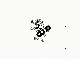 Cc1c(O)cccc1C(=O)[C@@H](Cc1ccccc1)[C@](N)(O)C(=O)N1CSC(C)(C)C1C(=O)NC(C)(C)C